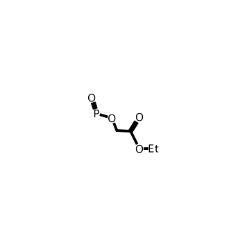 CCOC(=O)COP=O